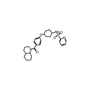 O=C(c1ccc(OC2CCC(NS(=O)(=O)c3ccccn3)CC2)cc1)N1CCCC2CCCCC21